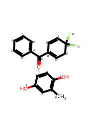 Cc1cc(O)ccc1O.O=C(C1=CCC(F)(F)C=C1)c1ccccc1